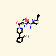 C#Cc1nc(NC(=O)N[C@H](CO)C(=O)N2CCC(c3ccccc3C#N)CC2)cs1